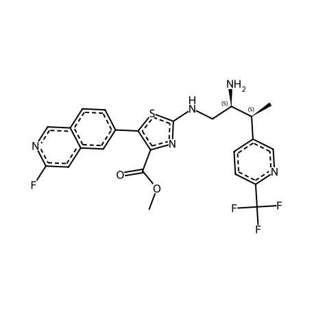 COC(=O)c1nc(NC[C@@H](N)[C@@H](C)c2ccc(C(F)(F)F)nc2)sc1-c1ccc2cnc(F)cc2c1